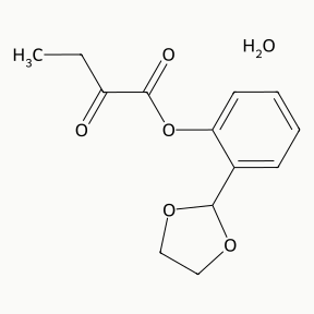 CCC(=O)C(=O)Oc1ccccc1C1OCCO1.O